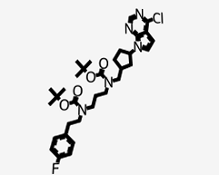 CC(C)(C)OC(=O)N(CCCN(CC1CCC(n2ccc3c(Cl)ncnc32)C1)C(=O)OC(C)(C)C)CCc1ccc(F)cc1